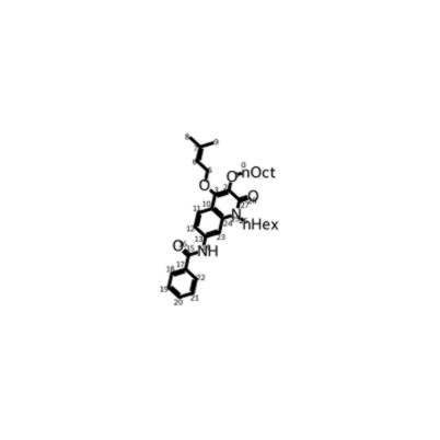 CCCCCCCCOc1c(OCC=C(C)C)c2ccc(NC(=O)c3ccccc3)cc2n(CCCCCC)c1=O